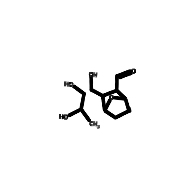 CC(O)CO.O=CC1C2CCC(O2)C1CO